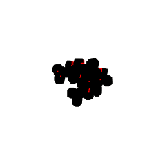 Cc1ccccc1N(c1ccccc1)c1ccc2c(c1)c1cccc3c4c(-c5ccccc5)c5c(c(-c6ccccc6)c4n2c13)c1cc(-c2cccc(-c3c4c6cccc7c8cc(N(c9ccccc9)c9ccccc9)ccc8n(c4c(-c4ccccc4)c4c8cccc9c%10cc(N(c%11ccccc%11)c%11ccccc%11)ccc%10n(c34)c98)c76)c2)cc2c3cc(N(c4ccccc4)c4ccccc4C)ccc3n5c21